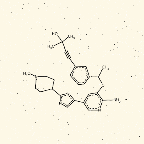 CC(Oc1cc(-c2cnc(C3CCN(C)CC3)s2)cnc1N)c1cccc(C#CC(C)(C)O)c1